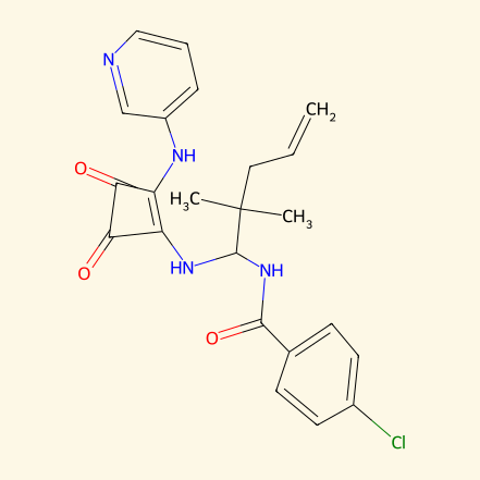 C=CCC(C)(C)C(NC(=O)c1ccc(Cl)cc1)Nc1c(Nc2cccnc2)c(=O)c1=O